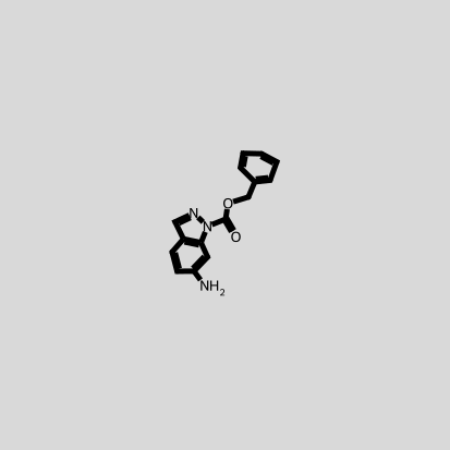 Nc1ccc2cnn(C(=O)OCc3ccccc3)c2c1